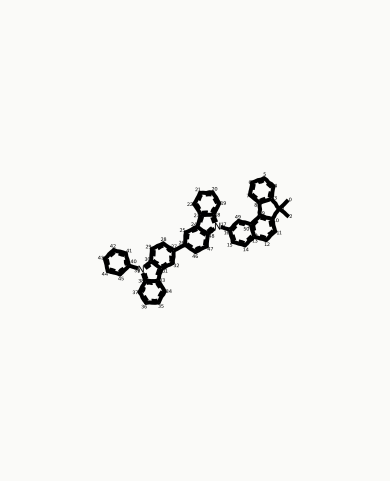 CC1(C)c2ccccc2-c2c1ccc1ccc(-n3c4ccccc4c4cc(-c5ccc6c(c5)c5ccccc5n6-c5ccccc5)ccc43)cc21